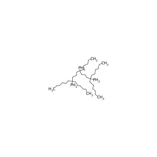 CCCCCCC(P)(CCCCCC)CCCC(P)(CCCCC)CCCC(P)(CCCCCC)CCCCCC